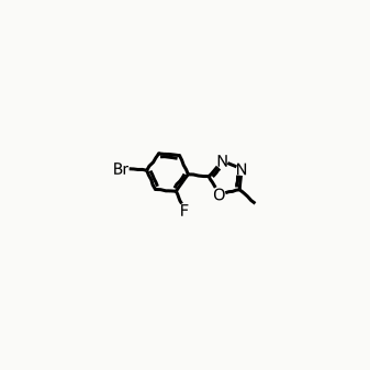 Cc1nnc(-c2ccc(Br)cc2F)o1